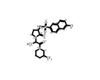 CC(C(=O)N1CCCC(C(F)(F)F)C1)N1CCC(NS(=O)(=O)c2ccc3cc(Cl)ccc3c2)C1=O